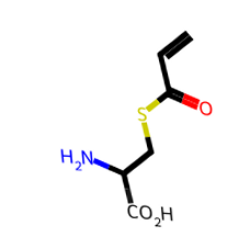 C=CC(=O)SCC(N)C(=O)O